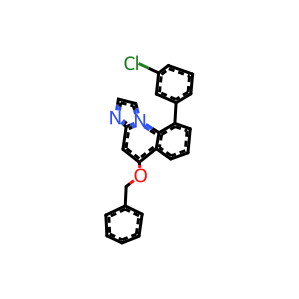 Clc1cccc(-c2cccc3c(OCc4ccccc4)cc4nccn4c23)c1